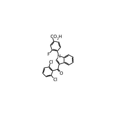 O=C(O)c1ccc(-n2cc(C(=O)c3c(Cl)cccc3Cl)c3ccccc32)c(F)c1